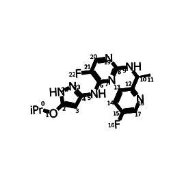 CC(C)Oc1cc(Nc2nc(N[C@@H](C)c3ccc(F)cn3)ncc2F)n[nH]1